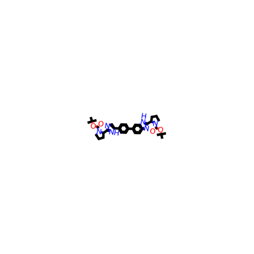 CC(C)(C)OC(=O)N1CCCC1c1ncc(-c2ccc(-c3ccc4nc(C5CCCN5C(=O)OC(C)(C)C)[nH]c4c3)cc2)[nH]1